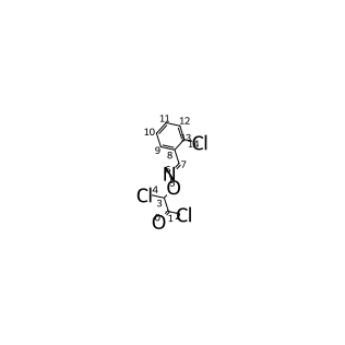 O=C(Cl)C(Cl)ON=Cc1ccccc1Cl